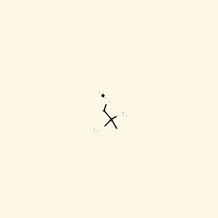 CC(C#N)(C#N)CN=N